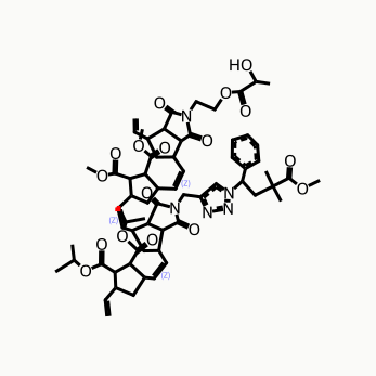 C=CC1CC(/C=C\C2CC(/C=C\C3CC(/C=C\C4CC(C=C)C5C(=O)N(CCOC(=O)C(C)O)C(=O)C45)C(C(=O)OC)C3C(=O)OC)C3C(=O)N(Cc4cn(C(CC(C)(C)C(=O)OC)c5ccccc5)nn4)C(=O)C23)C(C(=O)OC(C)C)C1C(=O)OC(C)C